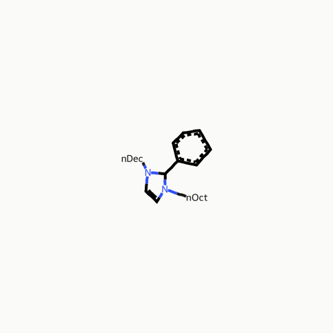 CCCCCCCCCCN1C=CN(CCCCCCCC)C1c1ccccc1